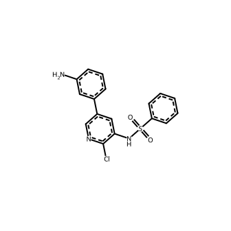 Nc1cccc(-c2cnc(Cl)c(NS(=O)(=O)c3ccccc3)c2)c1